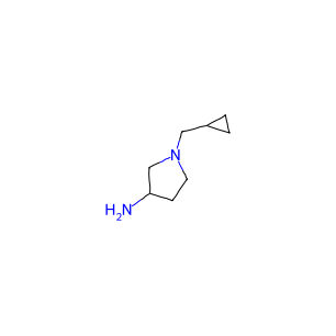 NC1CCN(CC2CC2)C1